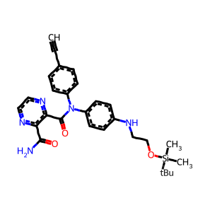 C#Cc1ccc(N(C(=O)c2nccnc2C(N)=O)c2ccc(NCCO[Si](C)(C)C(C)(C)C)cc2)cc1